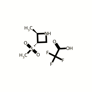 C[C@H]1NC[C@@H]1S(C)(=O)=O.O=C(O)C(F)(F)F